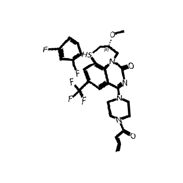 C=CC(=O)N1CCN(c2nc(=O)n3c4c(cc(C(F)(F)F)cc24)[SH](c2ccc(F)cc2F)C[C@H](OC)C3)CC1